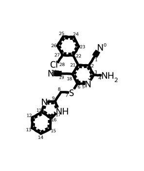 N#Cc1c(N)nc(SCc2nc3ccccc3[nH]2)c(C#N)c1-c1ccccc1Cl